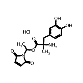 CC(OC(=O)[C@@](C)(N)Cc1ccc(O)c(O)c1)N1C(=O)C=CC1=O.Cl